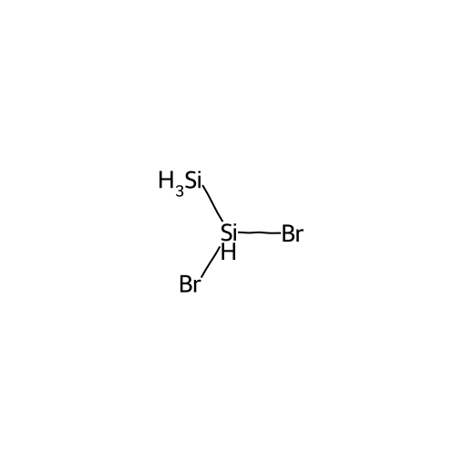 [SiH3][SiH](Br)Br